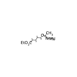 CCOC(=O)CCCCOC(C)N=[N+]=[N-]